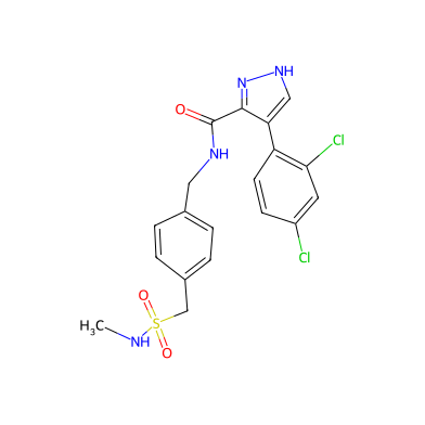 CNS(=O)(=O)Cc1ccc(CNC(=O)c2n[nH]cc2-c2ccc(Cl)cc2Cl)cc1